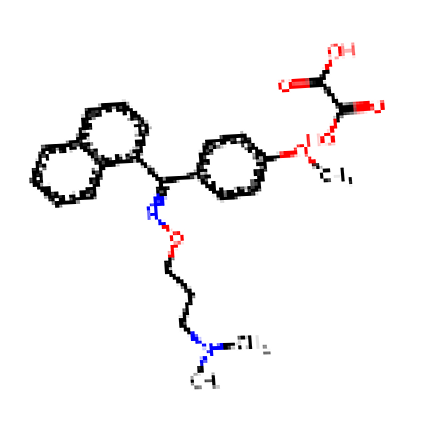 COc1ccc(C(=NOCCCN(C)C)c2cccc3ccccc23)cc1.O=C(O)C(=O)O